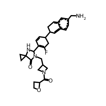 NCc1ccc2c(c1)=CCC(C1C=CC(C3NC4(CC4)C(=O)N3CC3CN(C(=O)C4CCO4)C3)=C(F)C1)C=2